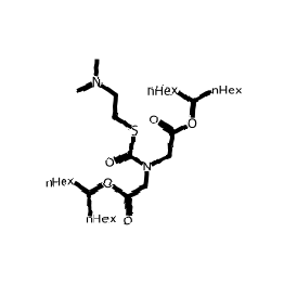 CCCCCCC(CCCCCC)OC(=O)CN(CC(=O)OC(CCCCCC)CCCCCC)C(=O)SCCN(C)C